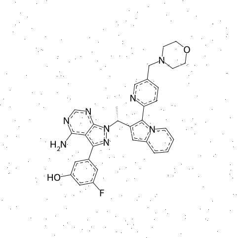 C[C@H](c1cc2ccccn2c1-c1ccc(CN2CCOCC2)cn1)n1nc(-c2cc(O)cc(F)c2)c2c(N)ncnc21